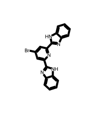 Brc1cc(-c2nc3ccccc3[nH]2)nc(-c2nc3ccccc3[nH]2)c1